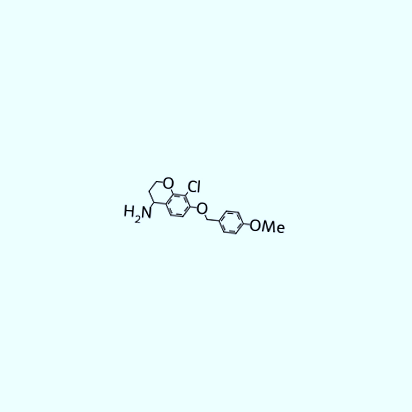 COc1ccc(COc2ccc3c(c2Cl)OCCC3N)cc1